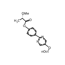 CCCCCCCCOc1cnc(-c2ccc(OC(=O)[C@H](C)OC)cc2)nc1